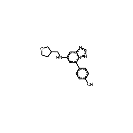 N#Cc1ccc(-c2cc(NCC3CCOC3)cc3ncnn23)cc1